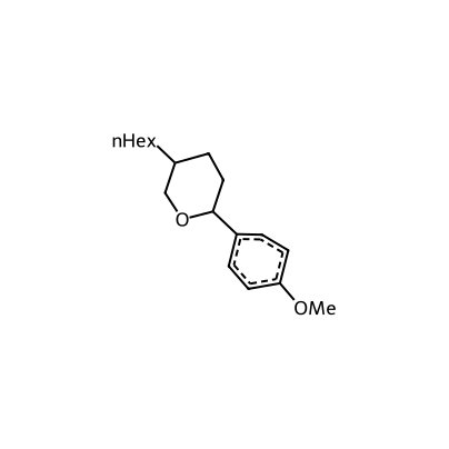 CCCCCCC1CCC(c2ccc(OC)cc2)OC1